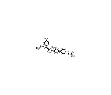 C=C1CCc2c(-c3nc(-c4ccc(C5CCN(CCC(=O)O)CC5)cc4C)no3)nn(CC)c2C1